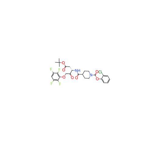 CC(C)(C)OC(=O)C[C@H](NC(=O)C1CCN(C(=O)Oc2ccccc2Cl)CC1)C(=O)COc1c(F)c(F)cc(F)c1F